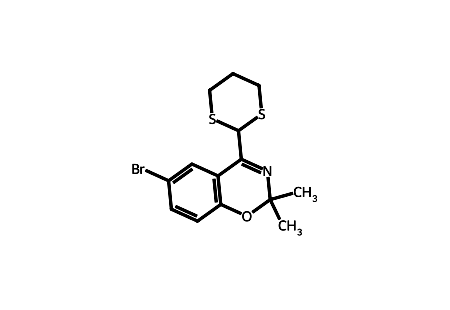 CC1(C)N=C(C2SCCCS2)c2cc(Br)ccc2O1